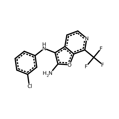 Nc1oc2c(C(F)(F)F)nccc2c1Nc1cccc(Cl)c1